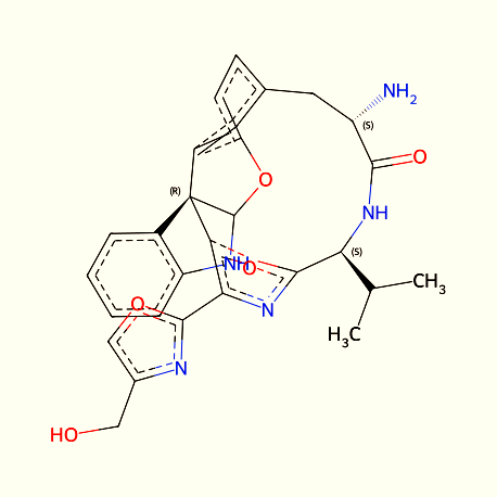 CC(C)[C@@H]1NC(=O)[C@@H](N)Cc2ccc3c(c2)[C@@]2(c4ccccc4NC2O3)c2oc1nc2-c1nc(CO)co1